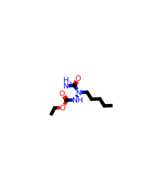 CCCCCN(NC(=O)OCC)C(N)=O